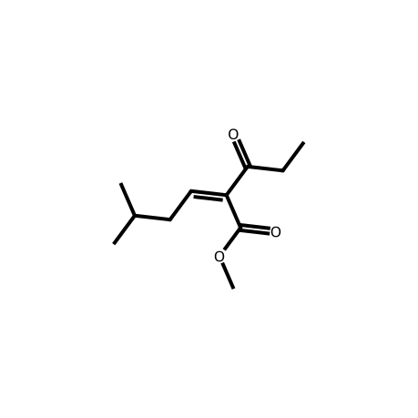 CCC(=O)C(=CCC(C)C)C(=O)OC